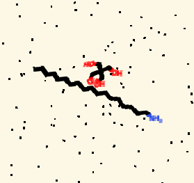 CCCCCCCCCCCCCCCCCCN.OCC(CO)(CO)CO